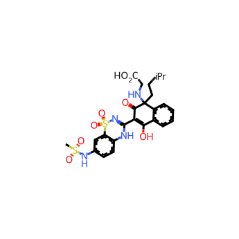 CC(C)CCC1(NCC(=O)O)C(=O)C(C2=NS(=O)(=O)c3cc(NS(C)(=O)=O)ccc3N2)=C(O)c2ccccc21